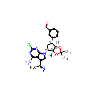 C/C(=N\I)c1cn([C@@H]2C[C@H](c3cccc(C=O)c3)[C@H]3OC(C)(C)O[C@H]32)c2nc(Cl)nc(N)c12